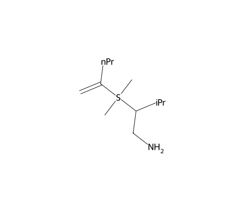 C=C(CCC)S(C)(C)C(CN)C(C)C